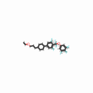 CCOCCCC1CCC(c2cc(F)c(C(F)(F)Oc3cc(F)c(F)c(F)c3)c(F)c2)CC1